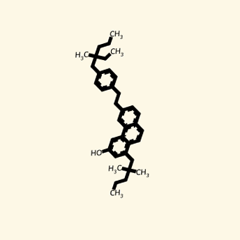 CCCC(C)(C)Cc1cc(O)cc2c1ccc1ccc(CCc3ccc(CC(C)(CC)CCC)cc3)cc12